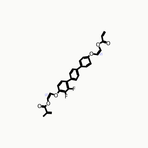 C=CC(=O)O/C=C\Oc1ccc(-c2ccc(-c3ccc(O/C=C\OC(=O)C(=C)C)c(F)c3F)cc2)cc1